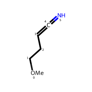 COCCC=C=N